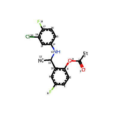 CCC(=O)Oc1ccc(F)cc1C(C#N)Nc1ccc(F)c(Cl)c1